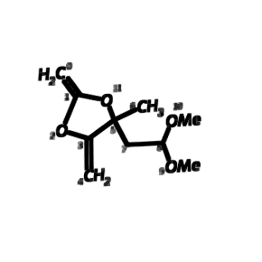 C=C1OC(=C)C(C)(CC(OC)OC)O1